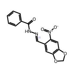 O=C(N/N=C/c1cc2c(cc1[N+](=O)[O-])OCO2)c1ccccc1